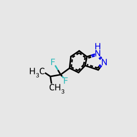 CC(C)C(F)(F)c1ccc2[nH]ncc2c1